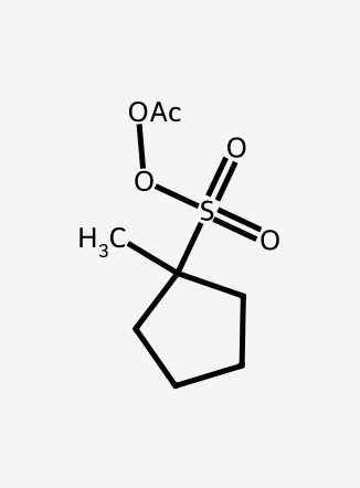 CC(=O)OOS(=O)(=O)C1(C)CCCC1